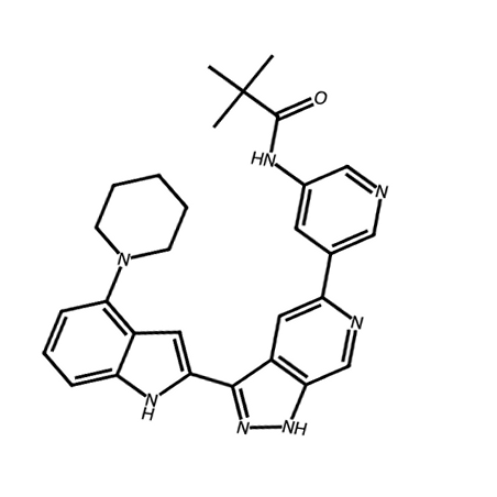 CC(C)(C)C(=O)Nc1cncc(-c2cc3c(-c4cc5c(N6CCCCC6)cccc5[nH]4)n[nH]c3cn2)c1